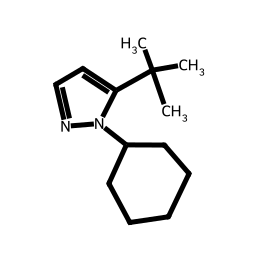 CC(C)(C)c1ccnn1C1CCCCC1